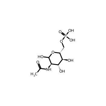 CC(=O)N[C@H]1C(O)O[C@H](COP(=O)(O)O)[C@@H](O)[C@@H]1O